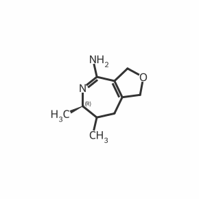 CC1CC2=C(COC2)C(N)=N[C@@H]1C